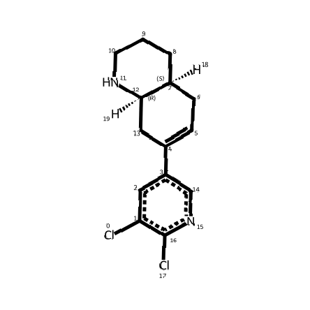 Clc1cc(C2=CC[C@@H]3CCCN[C@@H]3C2)cnc1Cl